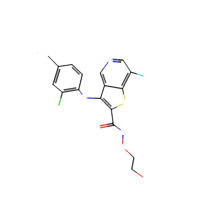 CSc1ccc(Nc2c(C(=O)NOCCO)sc3c(F)cncc23)c(Cl)c1